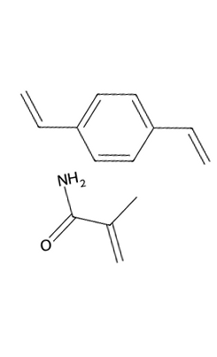 C=C(C)C(N)=O.C=Cc1ccc(C=C)cc1